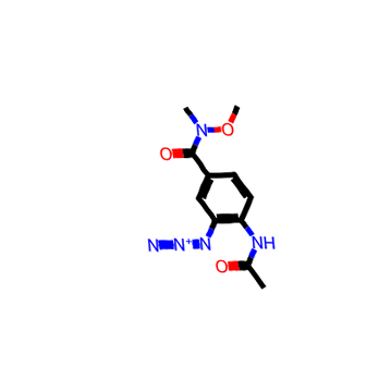 CON(C)C(=O)c1ccc(NC(C)=O)c(N=[N+]=[N-])c1